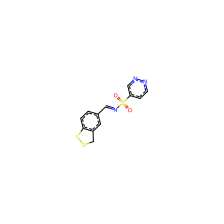 O=S(=O)(N=Cc1ccc2c(c1)CSS2)c1ccnnc1